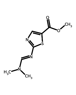 COC(=O)c1cnc(N=CN(C)C)s1